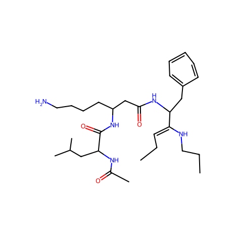 CCC=C(NCCC)C(Cc1ccccc1)NC(=O)CC(CCCCN)NC(=O)C(CC(C)C)NC(C)=O